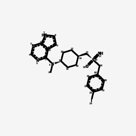 CN(c1ncnc2[nH]ccc12)[C@H]1CC[C@H](C[S@@](=N)(=O)Cc2ccc(I)cc2)CC1